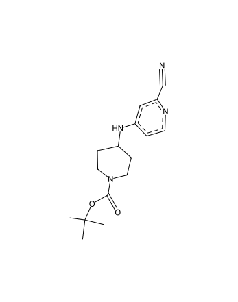 CC(C)(C)OC(=O)N1CCC(Nc2ccnc(C#N)c2)CC1